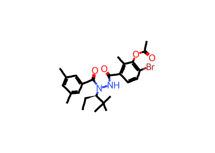 CC[C@@H](N(NC(=O)c1ccc(Br)c(OC(C)=O)c1C)C(=O)c1cc(C)cc(C)c1)C(C)(C)C